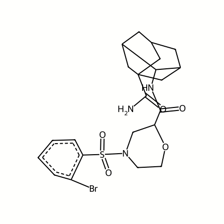 NC(=O)C12CC3CC(C1)C(NC(=O)C1CN(S(=O)(=O)c4ccccc4Br)CCO1)C(C3)C2